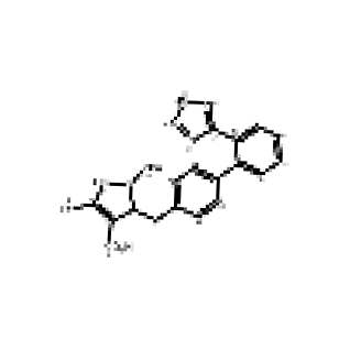 CCCCN1NC(CC)=C(C(=O)O)C1Cc1ccc(-c2ccccc2-c2nn[nH]n2)cc1